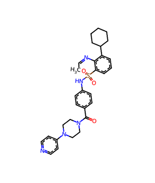 C/C=N\c1c(C2CCCCC2)cccc1S(=O)(=O)Nc1ccc(C(=O)N2CCN(c3ccncc3)CC2)cc1